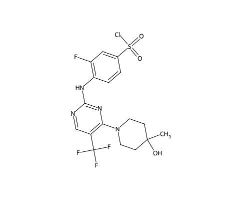 CC1(O)CCN(c2nc(Nc3ccc(S(=O)(=O)Cl)cc3F)ncc2C(F)(F)F)CC1